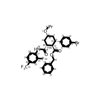 CC(C)O[C@@H]1C[C@H](c2ccc(Br)cc2)[C@@H](C(=O)OCc2ccccc2)[C@H](C(=O)Nc2ccc(C(F)(F)F)cc2F)C1